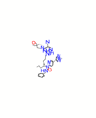 CCCC1/C(=[N+](\C(=O)NCc2ccccc2)c2ccc(-c3cnn(C)c3)cn2)C1CCCNc1ncc(C#N)c(N2CCC3(CCOC3)CC2)n1